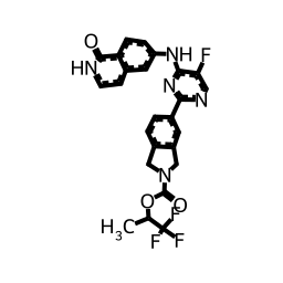 CC(OC(=O)N1Cc2ccc(-c3ncc(F)c(Nc4ccc5c(=O)[nH]ccc5c4)n3)cc2C1)C(F)(F)F